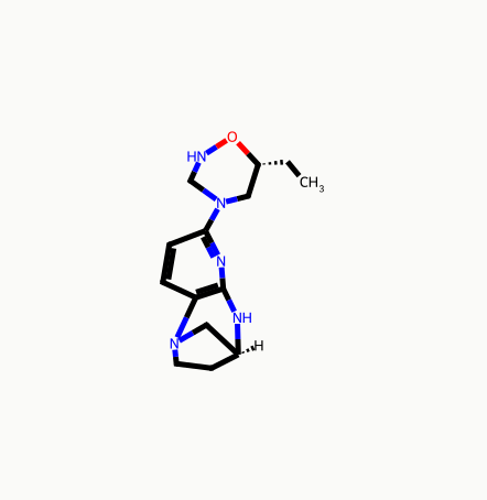 CC[C@@H]1CN(c2ccc3c(n2)N[C@H]2CCN3C2)CNO1